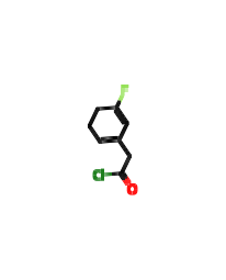 O=C(Cl)CC1=CCCC(F)=C1